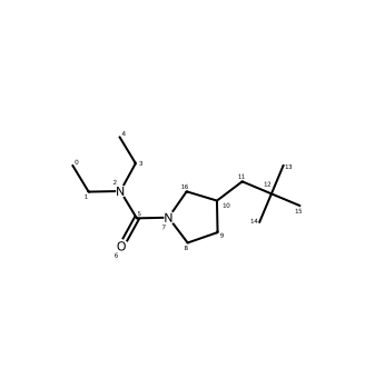 CCN(CC)C(=O)N1CCC(CC(C)(C)C)C1